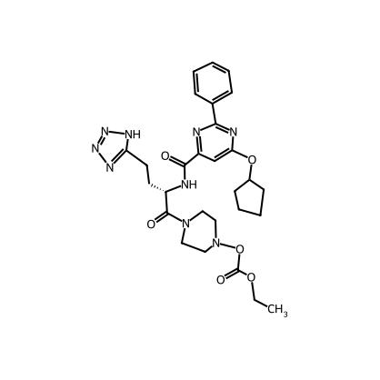 CCOC(=O)ON1CCN(C(=O)[C@H](CCc2nnn[nH]2)NC(=O)c2cc(OC3CCCC3)nc(-c3ccccc3)n2)CC1